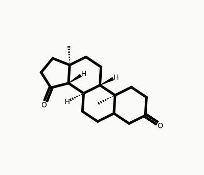 C[C@@]12CCC(=O)[C@H]1[C@@H]1CCC3CC(=O)CC[C@]3(C)[C@H]1CC2